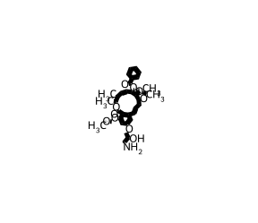 COCOc1cc(OCC(O)CN)cc2c1C(=O)OC(C)[C@H](C)/C=C\C(OC(=O)c1ccccc1)[C@H]1OC(C)(C)OC1C/C=C/2